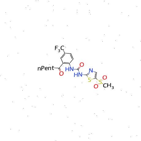 CCCCCC(=O)c1cc(C(F)(F)F)ccc1NC(=O)Nc1ncc(S(C)(=O)=O)s1